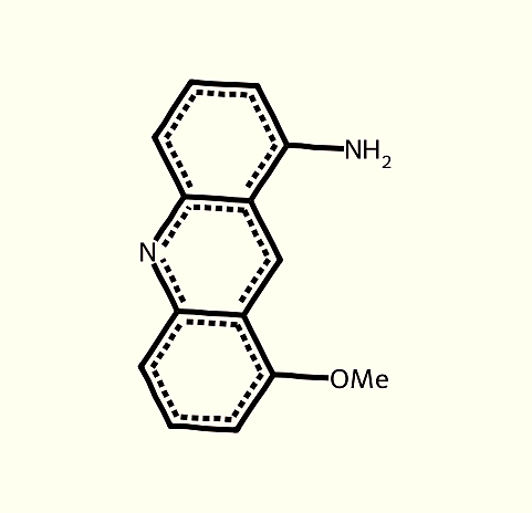 COc1cccc2nc3cccc(N)c3cc12